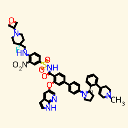 CN1CC=C(c2ccccc2[C@H]2CCCN2c2ccc(-c3ccc(C(=O)NS(=O)(=O)c4ccc(NCC5(F)CCN(C6COC6)CC5)c([N+](=O)[O-])c4)c(Oc4cnc5[nH]ccc5c4)c3)cc2)CC1